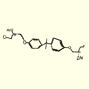 CC(=O)O[C@H](CCl)COc1ccc(C(C)(C)c2ccc(OC[C@H](CF)OC(C)=O)cc2)cc1